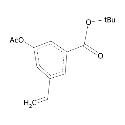 C=Cc1cc(OC(C)=O)cc(C(=O)OC(C)(C)C)c1